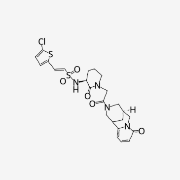 O=C(CN1CCC[C@H](NS(=O)(=O)/C=C/c2ccc(Cl)s2)C1=O)N1CC2C[C@@H](C1)Cn1c2cccc1=O